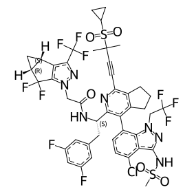 CC(C)(C#Cc1nc([C@H](Cc2cc(F)cc(F)c2)NC(=O)Cn2nc(C(F)(F)F)c3c2C(F)(F)[C@@H]2C[C@H]32)c(-c2ccc(Cl)c3c(NS(C)(=O)=O)nn(CC(F)(F)F)c23)c2c1CCC2)S(=O)(=O)C1CC1